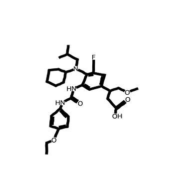 CCOc1ccc(NC(=O)Nc2cc(C(COC)CC(=O)O)cc(F)c2N(CC(C)C)C2CCCCC2)cc1